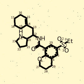 CCS(=O)(=O)c1cc2c(c(C(=O)NC(CC3=CCCCC3)C3CCCN3)c1)OCCC2